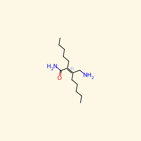 CCCCC/C(CN)=C(/CCCCC)C(N)=O